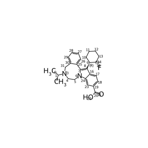 CC(C)N1CCn2c(c([C@H]3CCCC[C@@H]3F)c3ccc(C(=O)O)cc32)-c2ccccc2C1